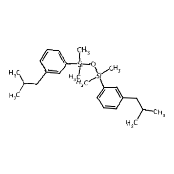 CC(C)Cc1cccc([Si](C)(C)O[Si](C)(C)c2cccc(CC(C)C)c2)c1